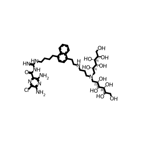 N=C(NCCCCc1ccc(CCNCCCN(C[C@H](O)[C@@H](O)[C@H](O)[C@H](O)CO)C[C@H](O)[C@@H](O)[C@H](O)[C@H](O)CO)c2ccccc12)NC(=O)c1nc(Cl)c(N)nc1N